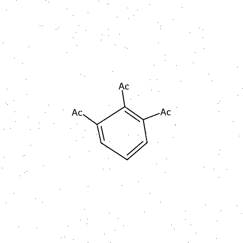 CC(=O)c1cccc(C(C)=O)c1C(C)=O